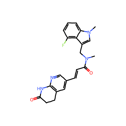 CN(Cc1cn(C)c2cccc(F)c12)C(=O)/C=C/c1cnc2c(c1)CCC(=O)N2